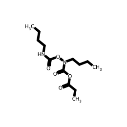 CCCCNC(=O)ON(CCCC)C(=O)OC(=O)CC